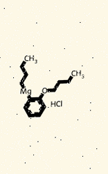 CCCCOc1cccc[c]1[Mg][CH2]CCC.Cl